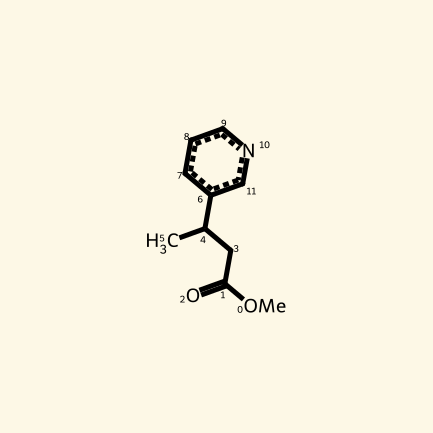 COC(=O)CC(C)c1cccnc1